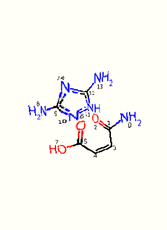 NC(=O)/C=C\C(=O)O.Nc1n[nH]c(N)n1